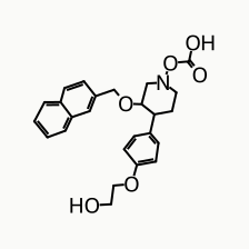 O=C(O)ON1CCC(c2ccc(OCCO)cc2)C(OCc2ccc3ccccc3c2)C1